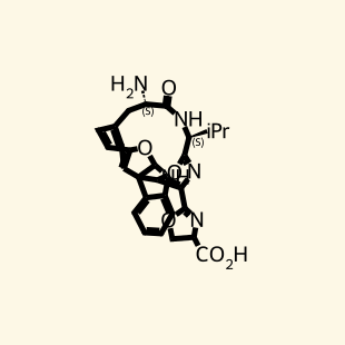 CC(C)[C@@H]1NC(=O)[C@@H](N)Cc2ccc3c(c2)C2(c4ccccc4NC2O3)c2oc1nc2C1=NC(C(=O)O)CO1